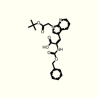 CC(C)(C)OC(=O)Cn1cc(/C=C(/NC(=O)OCc2ccccc2)C(=O)O)c2cccnc21